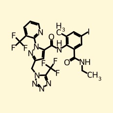 CCNC(=O)c1cc(I)cc(C)c1NC(=O)c1cc(Cn2nnnc2C(F)(F)F)nn1-c1ncccc1C(F)(F)F